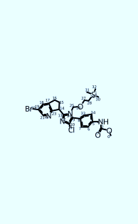 COC(=O)Nc1ccc(-c2c(Cl)nc(C3CCc4cc(Br)cnc43)n2COCC[Si](C)(C)C)cc1